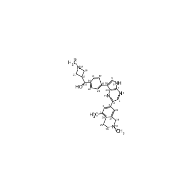 Cc1cc(-c2cnc3[nH]cc(-c4ccc([C@@H](O)C5CN(C)C5)cc4)c3n2)cc2c1CCN(C)C2